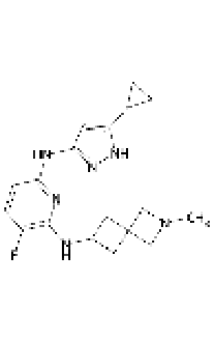 CN1CC2(CC(Nc3nc(Nc4cc(C5CC5)[nH]n4)ccc3F)C2)C1